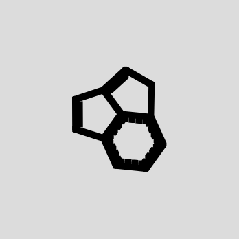 C1=Cc2cccc3c2C1=CC3